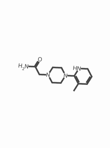 CC1=C(N2CCN(CC(N)=O)CC2)NCC=C1